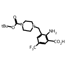 CC(C)(C)OC(=O)N1CCN(Cc2cc(C(F)(F)F)cc(C(=O)O)c2N)CC1